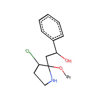 CC(C)OC1(CC(O)c2ccccc2)NCCC1Cl